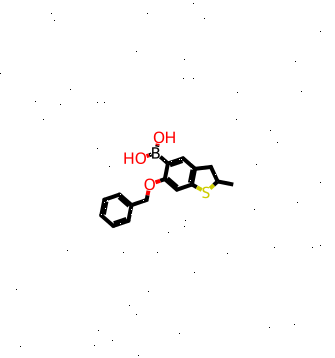 CC1Cc2cc(B(O)O)c(OCc3ccccc3)cc2S1